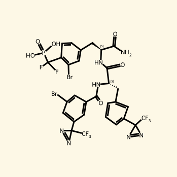 NC(=O)[C@H](Cc1ccc(C(F)(F)P(=O)(O)O)c(Br)c1)NC(=O)[C@H](Cc1cccc(C2(C(F)(F)F)N=N2)c1)NC(=O)c1cc(Br)cc(C2(C(F)(F)F)N=N2)c1